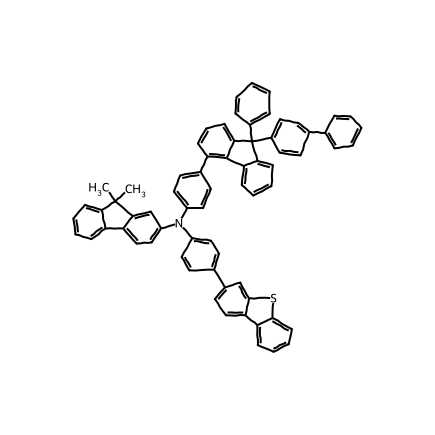 CC1(C)c2ccccc2-c2ccc(N(c3ccc(-c4ccc5c(c4)sc4ccccc45)cc3)c3ccc(-c4cccc5c4-c4ccccc4C5(c4ccccc4)c4ccc(-c5ccccc5)cc4)cc3)cc21